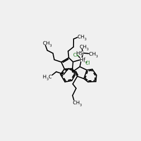 CCCCC1=C(CCCC)[CH]([Hf]([Cl])([Cl])([CH]2C(CCCC)=C(CCCC)c3ccccc32)[SiH](C)C)c2ccccc21